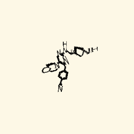 N#Cc1ccc(-c2nc(NC[C@H]3CCNC3)ncc2N2CCOCC2)cc1